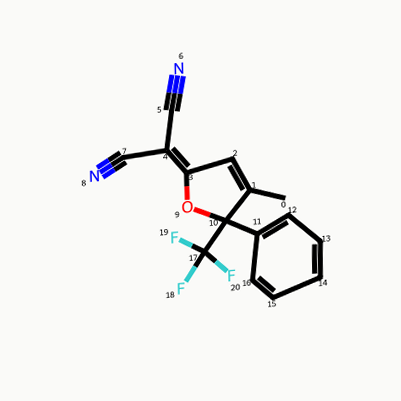 CC1=CC(=C(C#N)C#N)OC1(c1ccccc1)C(F)(F)F